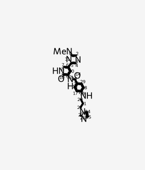 CNc1cncc(-c2c[nH]c(=O)c(NC(=O)c3ccc(NCCCn4ccnc4)cc3)c2)n1